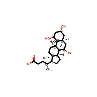 C[C@H](CCC(=O)O)[C@@H]1CC[C@H]2[C@@H]3[C@H](O)C[C@@H]4C[C@H](O)C[C@H](O)[C@]4(C)[C@H]3CC[C@@]21C